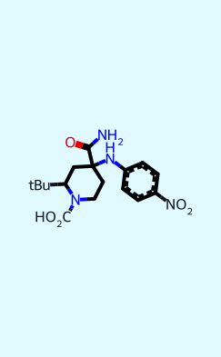 CC(C)(C)C1CC(Nc2ccc([N+](=O)[O-])cc2)(C(N)=O)CCN1C(=O)O